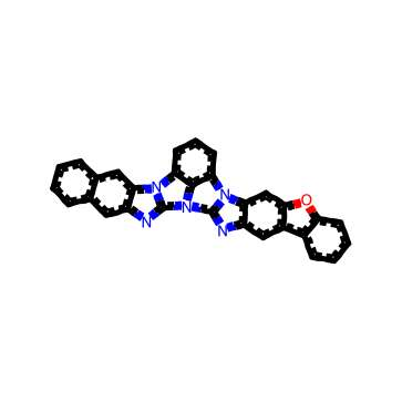 c1ccc2cc3c(cc2c1)nc1n3c2cccc3c2n1c1nc2cc4c(cc2n31)oc1ccccc14